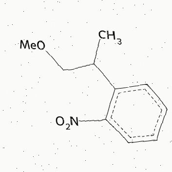 COCC(C)c1ccccc1[N+](=O)[O-]